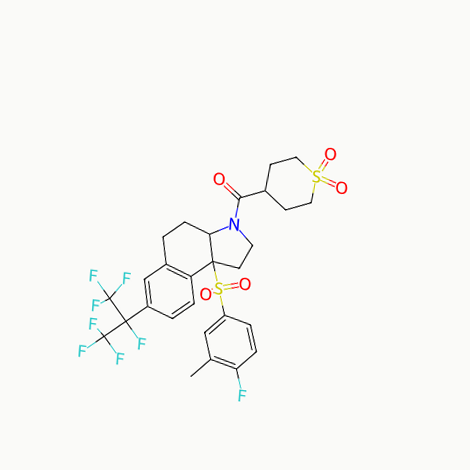 Cc1cc(S(=O)(=O)C23CCN(C(=O)C4CCS(=O)(=O)CC4)C2CCc2cc(C(F)(C(F)(F)F)C(F)(F)F)ccc23)ccc1F